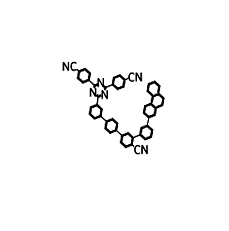 N#Cc1ccc(-c2nc(-c3ccc(C#N)cc3)nc(-c3cccc(-c4ccc(-c5ccc(C#N)c(-c6cccc(-c7ccc8c(ccc9ccccc98)c7)c6)c5)cc4)c3)n2)cc1